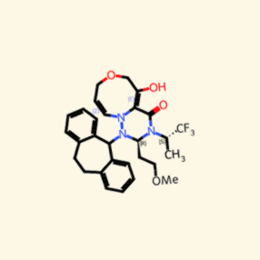 COCC[C@@H]1N([C@@H](C)C(F)(F)F)C(=O)/C2=C(\O)COC/C=C\N2N1C1c2ccccc2CCc2ccccc21